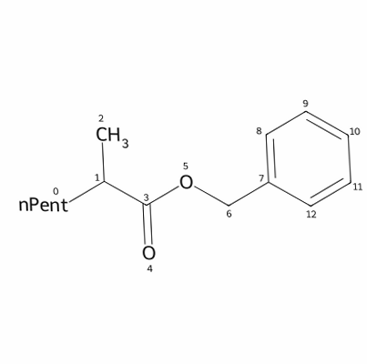 CCCCCC(C)C(=O)OCc1ccccc1